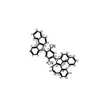 N#Cc1cc(-n2c3ccccc3c3c4ccccc4ccc32)c(C#N)cc1-n1c2c(c3c4ccccc4ccc31)-c1ccccc1C=CC2